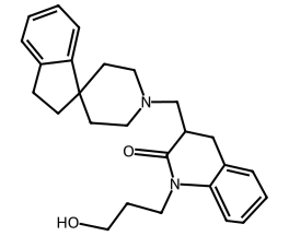 O=C1C(CN2CCC3(CCc4ccccc43)CC2)Cc2ccccc2N1CCCO